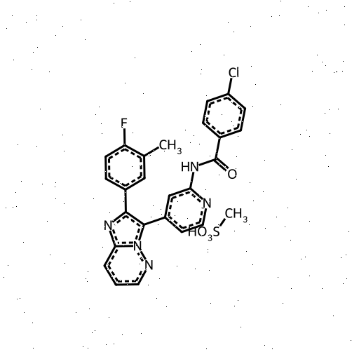 CS(=O)(=O)O.Cc1cc(-c2nc3cccnn3c2-c2ccnc(NC(=O)c3ccc(Cl)cc3)c2)ccc1F